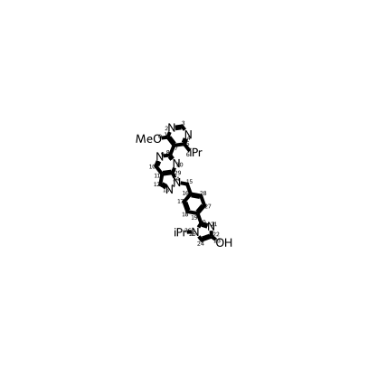 COc1ncnc(C(C)C)c1-c1ncc2cnn(Cc3ccc(-c4nc(O)cn4C(C)C)cc3)c2n1